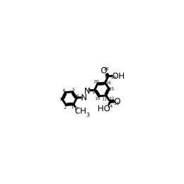 Cc1ccccc1N=Nc1cc(C(=O)O)cc(C(=O)O)c1